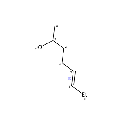 CC/C=C/CCC(C)[O]